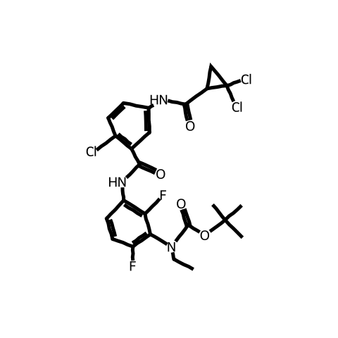 CCN(C(=O)OC(C)(C)C)c1c(F)ccc(NC(=O)c2cc(NC(=O)C3CC3(Cl)Cl)ccc2Cl)c1F